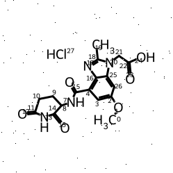 COc1cc(C(=O)NC2CCC(=O)NC2=O)c2nc(C)n(CC(=O)O)c2c1.Cl